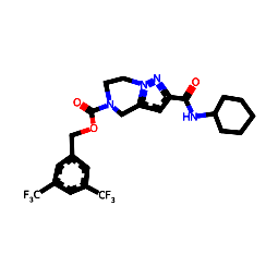 O=C(NC1CCCCC1)c1cc2n(n1)CCN(C(=O)OCc1cc(C(F)(F)F)cc(C(F)(F)F)c1)C2